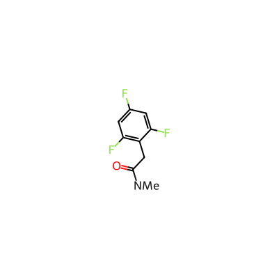 CNC(=O)Cc1c(F)cc(F)cc1F